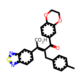 Cc1ccc(CC(C(=O)c2ccc3c(c2)OCCO3)=C(C(=O)O)c2ccc3nsnc3c2)cc1